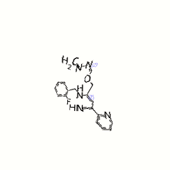 C=N/N=C\OC/C(=C/C(=N)c1ccccn1)NCc1ccccc1F